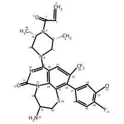 C=CC(=O)N1[C@H](C)CN(c2nc(=O)n3c4c(c(-c5ccc(F)c(Cl)c5)c(C(F)(F)F)cc24)SCC(N)C3)C[C@@H]1C